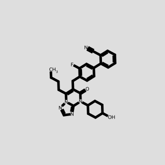 CCCCc1c(Cc2ccc(-c3ccccc3C#N)cc2F)c(=O)n(C2CCC(O)CC2)c2ncnn12